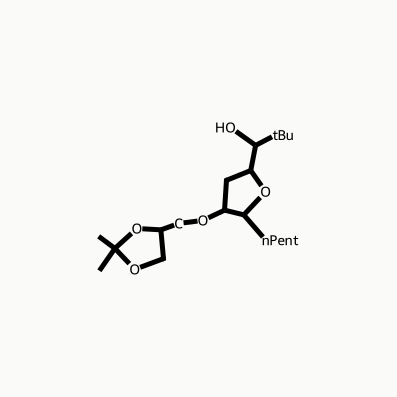 CCCCCC1OC(C(O)C(C)(C)C)CC1OCC1COC(C)(C)O1